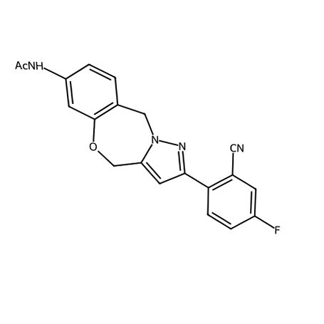 CC(=O)Nc1ccc2c(c1)OCc1cc(-c3ccc(F)cc3C#N)nn1C2